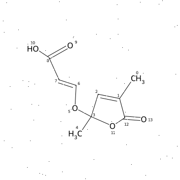 CC1=CC(C)(O/C=C/C(=O)O)OC1=O